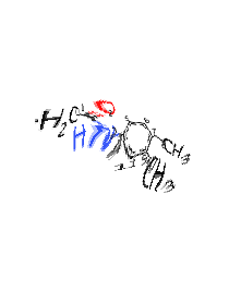 [CH2]C(=O)Nc1ccc(C)c(C)c1